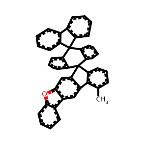 Cc1cccc2c1-c1cc3c(cc1C21c2ccccc2C2(c4ccccc4-c4ccccc42)c2ccccc21)oc1ccccc13